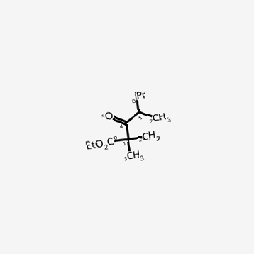 CCOC(=O)C(C)(C)C(=O)C(C)C(C)C